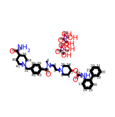 CN(CCN1CCC(OC(=O)Nc2ccccc2-c2ccccc2)CC1)C(=O)c1ccc(CN2CCC(C(N)=O)CC2)cc1.O=P(O)(O)O.O=P(O)(O)O